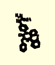 N=C(N)Nc1ccc(N2C(=O)N(Cc3ccccc3)N=C(c3ccccc3F)c3ccccc32)cc1